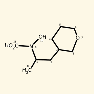 CC(CC1CCCOC1)N(O)C(=O)O